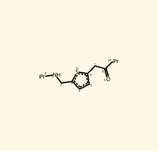 CC(C)NCc1ccc(CC(=O)C(C)C)s1